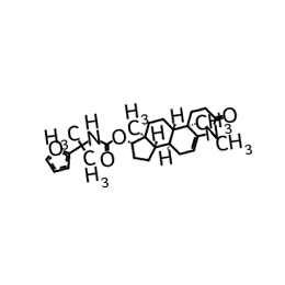 CN1C(=O)CC[C@@]2(C)C1=CC[C@H]1[C@@H]3CC[C@H](OC(=O)NC(C)(C)c4ccco4)[C@@]3(C)CC[C@@H]12